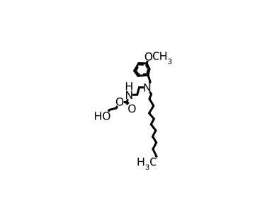 CCCCCCCCCCCCN(CCNC(=O)OCCO)Cc1cccc(OC)c1